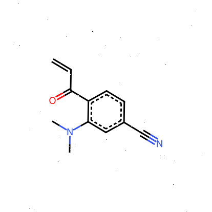 C=CC(=O)c1ccc(C#N)cc1N(C)C